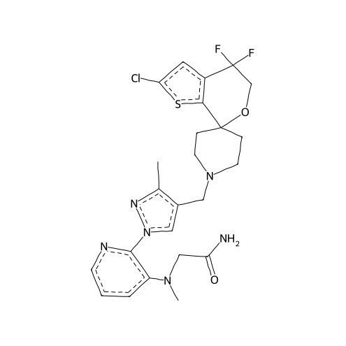 Cc1nn(-c2ncccc2N(C)CC(N)=O)cc1CN1CCC2(CC1)OCC(F)(F)c1cc(Cl)sc12